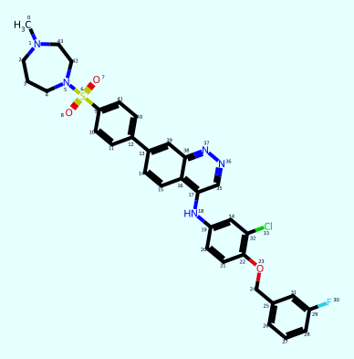 CN1CCCN(S(=O)(=O)c2ccc(-c3ccc4c(Nc5ccc(OCc6cccc(F)c6)c(Cl)c5)cnnc4c3)cc2)CC1